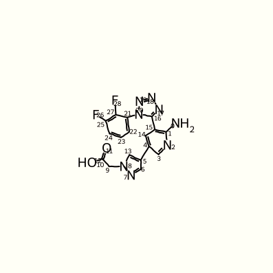 Nc1ncc(-c2cnn(CC(=O)O)c2)cc1-c1nnnn1-c1cccc(F)c1F